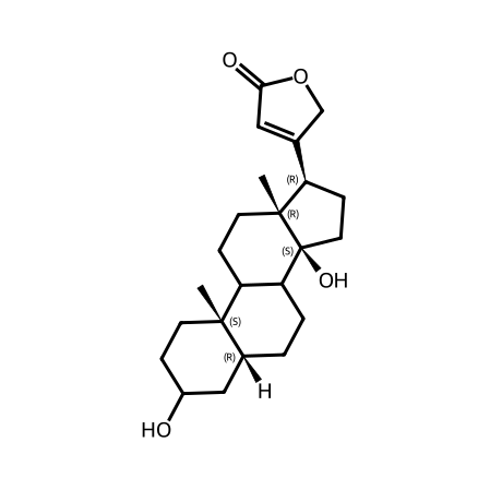 C[C@]12CCC(O)C[C@H]1CCC1C2CC[C@]2(C)[C@@H](C3=CC(=O)OC3)CC[C@]12O